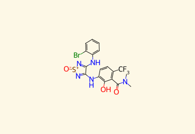 CN(C)C(=O)c1c(C(F)(F)F)ccc(Nc2n[s+]([O-])nc2Nc2ccccc2Br)c1O